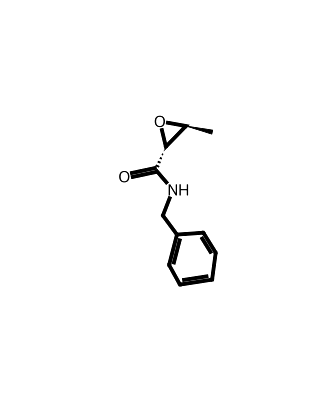 C[C@@H]1O[C@H]1C(=O)NCc1ccccc1